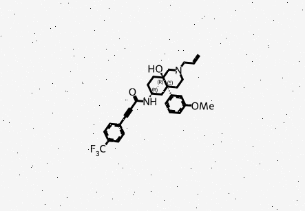 C=CCN1CC[C@@]2(c3cccc(OC)c3)C[C@H](NC(=O)C#Cc3ccc(C(F)(F)F)cc3)CC[C@]2(O)C1